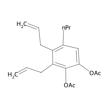 C=CCc1c(CCC)cc(OC(C)=O)c(OC(C)=O)c1CC=C